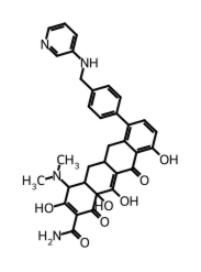 CN(C)C1C(O)=C(C(N)=O)C(=O)C2(O)C(O)=C3C(=O)c4c(O)ccc(-c5ccc(CNc6cccnc6)cc5)c4CC3CC12